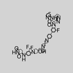 O=C1CCC(Nc2ccc(N3CCC(O)(CC(=O)N4CC5(C4)CN(c4ccc(-c6cc(F)c7c(c6)C(=O)N(C(C(=O)Nc6nccs6)c6ncn8c6CCC8)C7)cc4)C5)CC3)c(C(F)F)c2)C(=O)N1